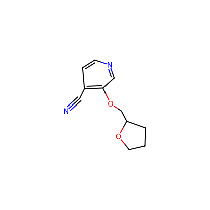 N#Cc1ccncc1OCC1CCCO1